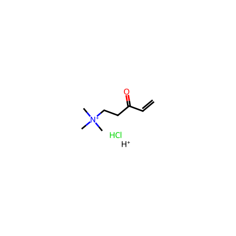 C=CC(=O)CC[N+](C)(C)C.Cl.[H+]